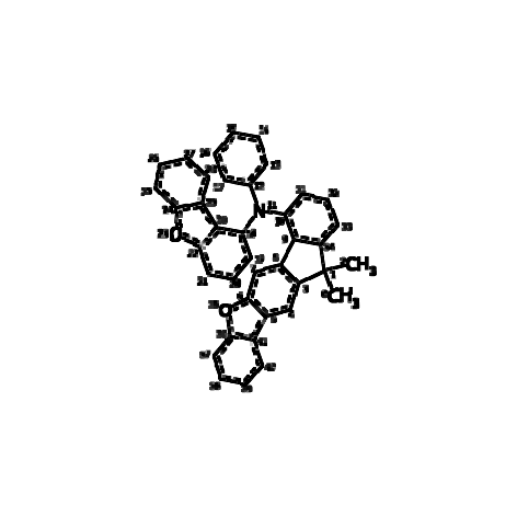 CC1(C)c2cc3c(cc2-c2c(N(c4ccccc4)c4cccc5oc6ccccc6c45)cccc21)oc1ccccc13